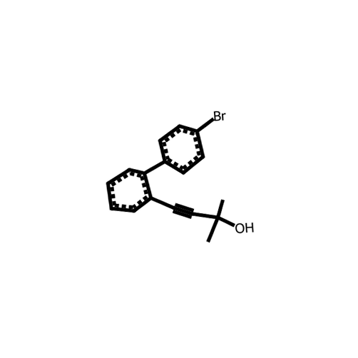 CC(C)(O)C#Cc1ccccc1-c1ccc(Br)cc1